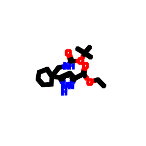 CCOC(=O)c1cc(C2(CNC(=O)OC(C)(C)C)CCCCC2)[nH]n1